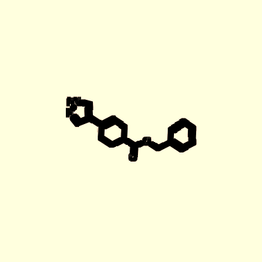 O=C(OCc1ccccc1)C1CC=C(c2cn[nH]c2)CC1